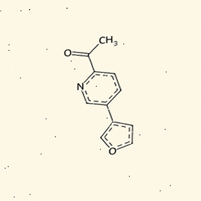 CC(=O)c1ccc(-c2ccoc2)cn1